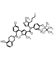 Cc1c(C(=O)N(c2ccc(O[Si](C)(C)C(C)(C)C)cc2)c2cnn(C)c2CCCI)cc(-c2cc(Cl)ccc2CN2CCc3c(O)cccc3C2)n1C